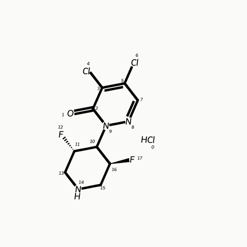 Cl.O=c1c(Cl)c(Cl)cnn1C1[C@@H](F)CNC[C@@H]1F